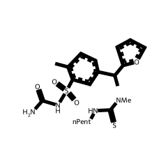 CCCCCNC(=S)NC.Cc1ccc(C(C)c2ccco2)cc1S(=O)(=O)NC(N)=O